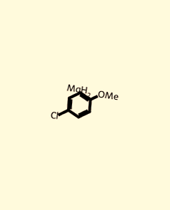 COc1ccc(Cl)cc1.[MgH2]